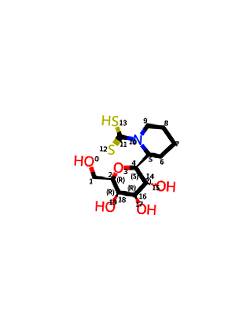 OC[C@H]1O[C@@H](C2CCCCN2C(=S)S)[C@H](O)[C@@H](O)[C@H]1O